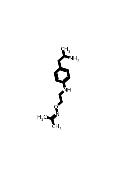 CC(C)=NOCCNc1ccc(CC(C)N)cc1